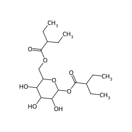 CCC(CC)C(=O)OCC1OC(OC(=O)C(CC)CC)C(O)C(O)C1O